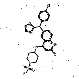 CC(C)S(=O)(=O)N1CCC(Nc2cc(=O)[nH]c3ccc(C(c4ccc(Cl)cc4)c4nccs4)cc23)CC1